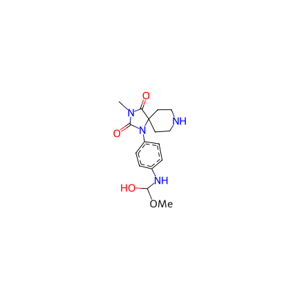 COC(O)Nc1ccc(N2C(=O)N(C)C(=O)C23CCNCC3)cc1